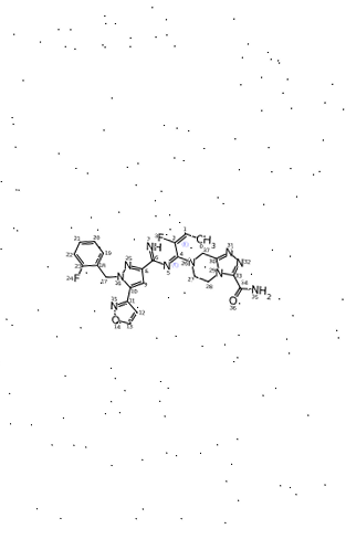 C/C=C(F)\C(=N/C(=N)c1cc(-c2ccon2)n(Cc2ccccc2F)n1)N1CCn2c(nnc2C(N)=O)C1